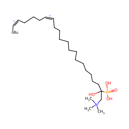 CCCC/C=C\CCC/C=C\CCCCCCCCCCCCC(O)(C[N+](C)(C)C)P(=O)(O)O